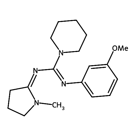 COc1cccc(N=C(N=C2CCCN2C)N2CCCCC2)c1